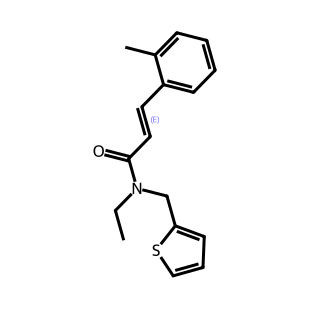 CCN(Cc1cccs1)C(=O)/C=C/c1ccccc1C